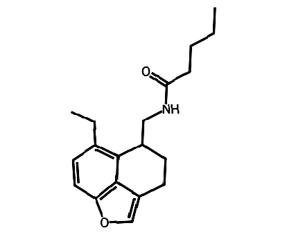 CCCCC(=O)NCC1CCc2coc3ccc(CC)c1c23